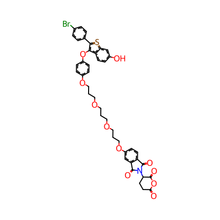 O=C1CCC(N2C(=O)c3ccc(OCCCOCCCOCCCOc4ccc(Oc5c(-c6ccc(Br)cc6)sc6cc(O)ccc56)cc4)cc3C2=O)C(=O)O1